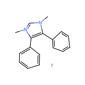 Cn1c[n+](C)c(-c2ccccc2)c1-c1ccccc1.[I-]